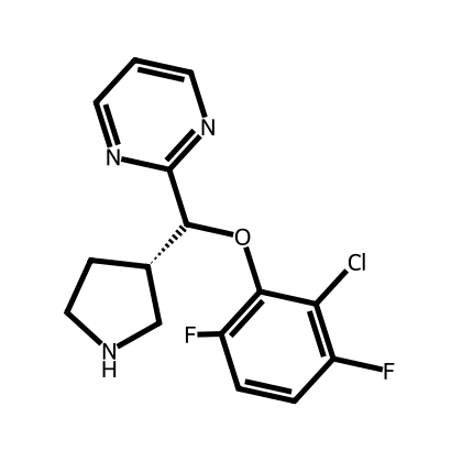 Fc1ccc(F)c(OC(c2ncccn2)[C@H]2CCNC2)c1Cl